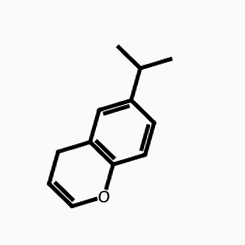 CC(C)c1ccc2c(c1)CC=CO2